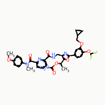 COc1ccc(N(C)C(=O)c2cccc(C(=O)NCc3nc(-c4ccc(OC(F)F)c(OCC5CC5)c4)oc3C(C)OC(N)=O)n2)cc1